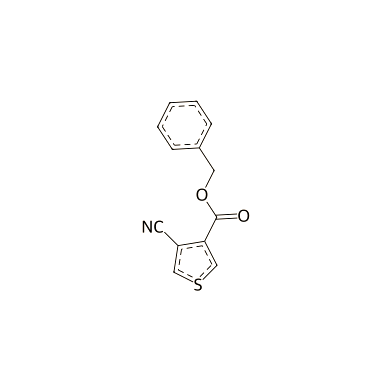 N#Cc1cscc1C(=O)OCc1ccccc1